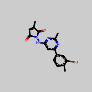 CC1=CC(=O)N(Nc2cc(-c3ccc(C)c(S)c3)nc(C)n2)C1=O